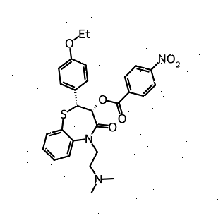 CCOc1ccc([C@H]2Sc3ccccc3N(CCN(C)C)C(=O)[C@H]2OC(=O)c2ccc([N+](=O)[O-])cc2)cc1